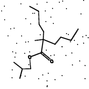 CCCCC(C)(CCCC)C(=O)OCC(C)C